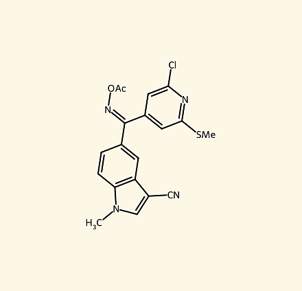 CSc1cc(/C(=N\OC(C)=O)c2ccc3c(c2)c(C#N)cn3C)cc(Cl)n1